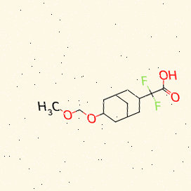 COCOC1CC2CC(C1)CC(C(F)(F)C(=O)O)C2